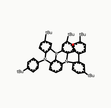 CC(C)(C)c1ccc(-c2cc(C(C)(C)C)ccc2N2c3ccc(C(C)(C)C)cc3B3c4cc(C(C)(C)C)ccc4N(c4ccc(C(C)(C)C)cc4)c4cccc2c43)cc1